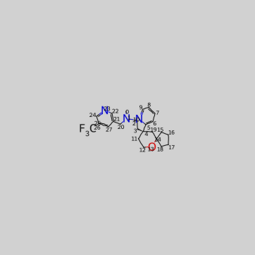 CN(CC[C@]1(c2ccccn2)CCOC2(CCCC2)C1)Cc1cncc(C(F)(F)F)c1